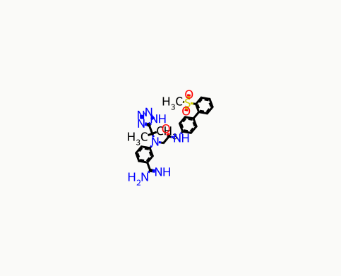 CC(C)(c1nnn[nH]1)N(CC(=O)Nc1ccc(-c2ccccc2S(C)(=O)=O)cc1)c1cccc(C(=N)N)c1